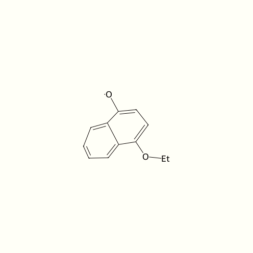 CCOc1ccc([O])c2ccccc12